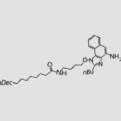 CCCCCCCCCCCCCCCCCC(=O)NCCCCOn1c(CCCC)nc2c(N)cc3ccccc3c21